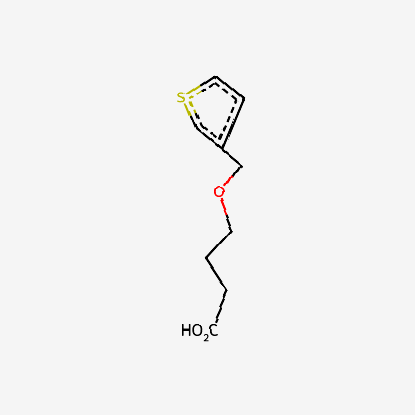 O=C(O)CCCOCc1ccsc1